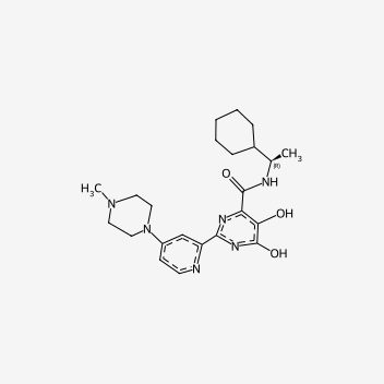 C[C@@H](NC(=O)c1nc(-c2cc(N3CCN(C)CC3)ccn2)nc(O)c1O)C1CCCCC1